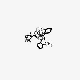 Cc1noc(C)c1C(=Cn1nc(-c2ccccc2C(F)(F)F)nc1-c1ccccc1C(F)(F)F)C(=O)O